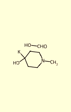 CN1CC[C](O)([K])CC1.O=CO